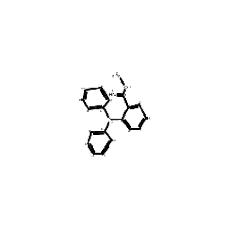 CCCOC(=N)c1ccccc1P(c1ccccc1)c1ccccc1